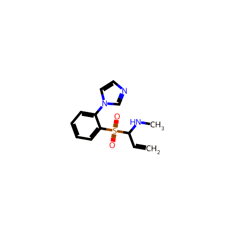 C=CC(NC)S(=O)(=O)c1ccccc1-n1ccnc1